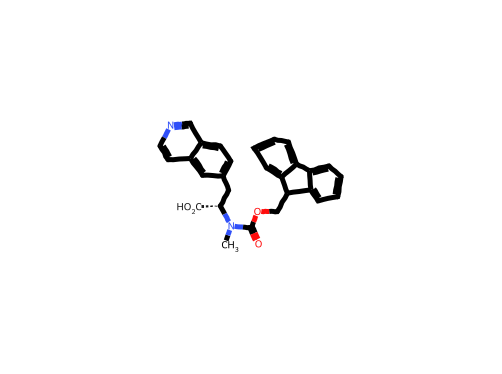 CN(C(=O)OCC1c2ccccc2-c2ccccc21)[C@@H](Cc1ccc2cnccc2c1)C(=O)O